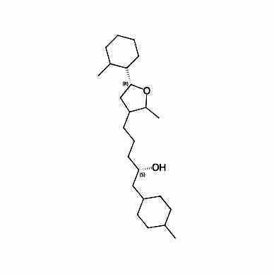 CC1CCC(C[C@@H](O)CCCC2C[C@H](C3CCCCC3C)OC2C)CC1